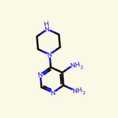 Nc1ncnc(N2CCNCC2)c1N